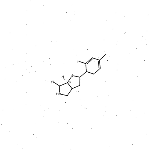 CC1=CCC(C2CC3CNC(Cl)[C@H]3S2)C(F)=C1